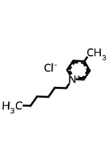 CCCCCC[n+]1ccc(C)cc1.[Cl-]